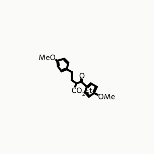 CCOC(=O)C(CCc1ccc(OC)cc1)C(=O)c1ccc(OC)cc1